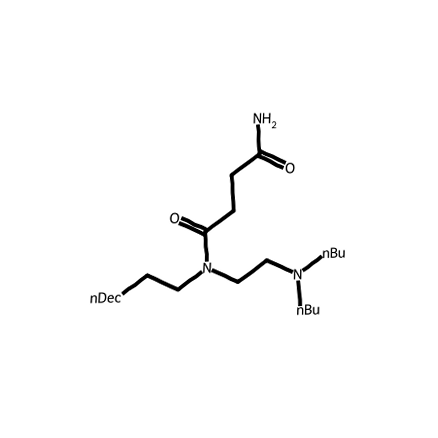 CCCCCCCCCCCCN(CCN(CCCC)CCCC)C(=O)CCC(N)=O